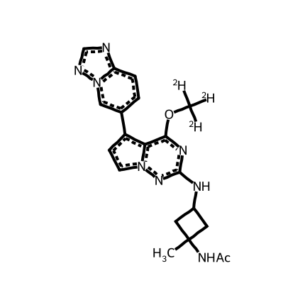 [2H]C([2H])([2H])Oc1nc(NC2CC(C)(NC(C)=O)C2)nn2ccc(-c3ccc4ncnn4c3)c12